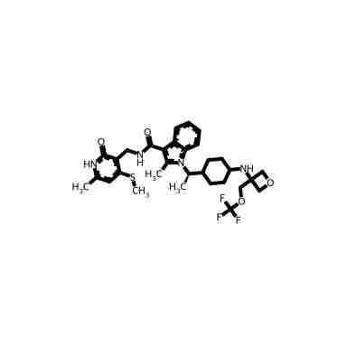 CSc1cc(C)[nH]c(=O)c1CNC(=O)c1c(C)n([C@H](C)C2CCC(NC3(COC(F)(F)F)COC3)CC2)c2ccccc12